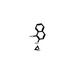 C1CO1.Oc1ccc2ccccc2c1O